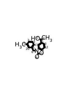 Cc1cccc(Cn2c(=O)oc3ccc(C(C)O)cc32)c1